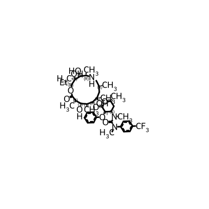 CC[C@H]1OC(=O)[C@H](C)[C@@H](O)[C@H](C)[C@@H](O[C@@H]2O[C@H](C)C[C@H](N(C)C(=O)N(C)c3ccc(C(F)(F)F)cc3)[C@H]2Oc2ccccc2)[C@](C)(O)C[C@@H](C)CN[C@H](C)[C@@H](O)[C@]1(C)O